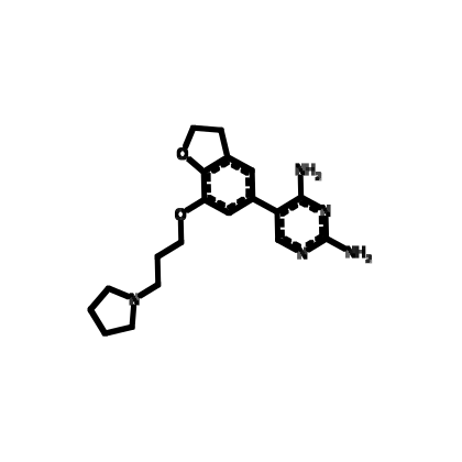 Nc1ncc(-c2cc3c(c(OCCCN4CCCC4)c2)OCC3)c(N)n1